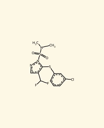 CN(C)S(=O)(=O)n1ncc(C(F)F)c1Sc1cccc(Cl)c1